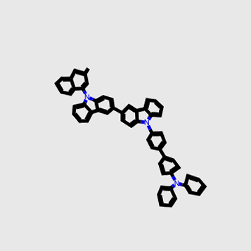 Cc1cc(-n2c3ccccc3c3cc(-c4ccc5c(c4)c4ccccc4n5-c4ccc(-c5ccc(N(c6ccccc6)c6ccccc6)cc5)cc4)ccc32)c2ccccc2c1